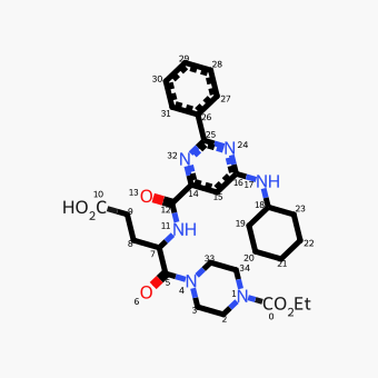 CCOC(=O)N1CCN(C(=O)C(CCC(=O)O)NC(=O)c2cc(NC3CCCCC3)nc(-c3ccccc3)n2)CC1